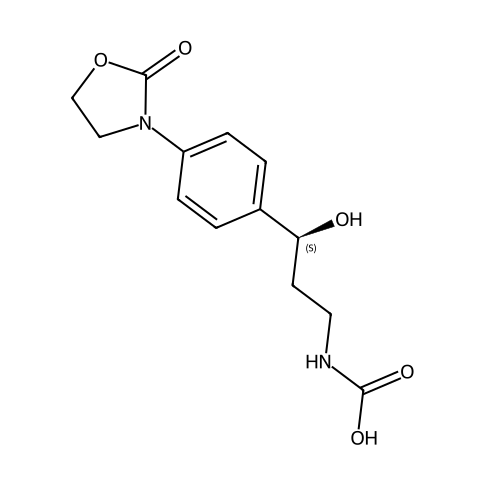 O=C(O)NCC[C@H](O)c1ccc(N2CCOC2=O)cc1